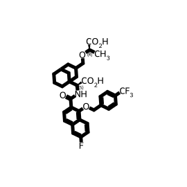 C[C@@H](OCC1CC2CCCC([C@H](NC(=O)c3ccc4cc(F)ccc4c3OCc3ccc(C(F)(F)F)cc3)C(=O)O)(C2)C1)C(=O)O